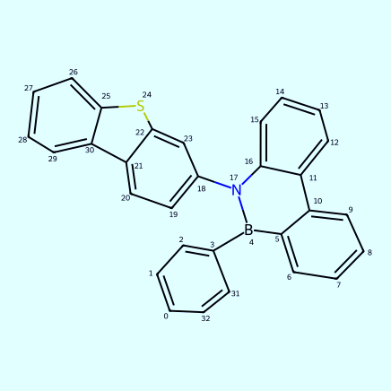 c1ccc(B2c3ccccc3-c3ccccc3N2c2ccc3c(c2)sc2ccccc23)cc1